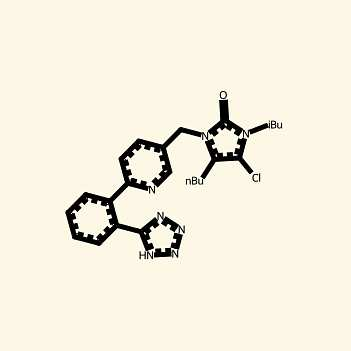 CCCCc1c(Cl)n(C(C)CC)c(=O)n1Cc1ccc(-c2ccccc2-c2nnn[nH]2)nc1